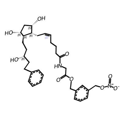 O=C(CCC/C=C\C[C@@H]1[C@@H](CC[C@@H](O)CCc2ccccc2)[C@H](O)C[C@@H]1O)NCC(=O)OCc1cccc(CO[N+](=O)[O-])c1